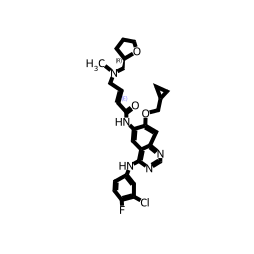 CN(C/C=C/C(=O)Nc1cc2c(Nc3ccc(F)c(Cl)c3)ncnc2cc1OCC1CC1)C[C@H]1CCCO1